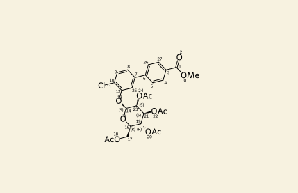 COC(=O)c1ccc(-c2ccc(Cl)c(O[C@@H]3O[C@H](COC(C)=O)[C@@H](OC(C)=O)[C@H](OC(C)=O)[C@@H]3OC(C)=O)c2)cc1